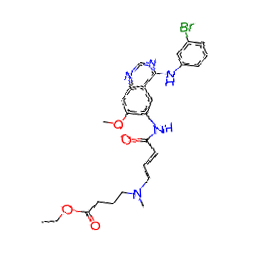 CCOC(=O)CCCN(C)C/C=C/C(=O)Nc1cc2c(Nc3cccc(Br)c3)ncnc2cc1OC